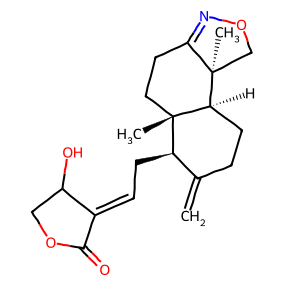 C=C1CC[C@H]2[C@@](C)(CCC3=NOC[C@]32C)[C@@H]1CC=C1C(=O)OCC1O